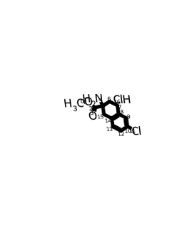 COC(=O)C1(N)CCc2cc(Cl)ccc2C1.Cl